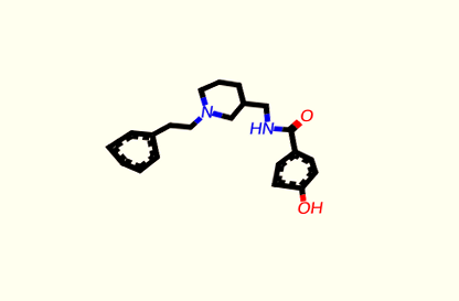 O=C(NCC1CCCN(CCc2ccccc2)C1)c1ccc(O)cc1